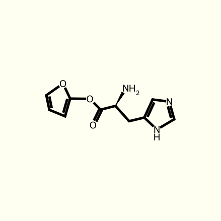 N[C@@H](Cc1cnc[nH]1)C(=O)Oc1ccco1